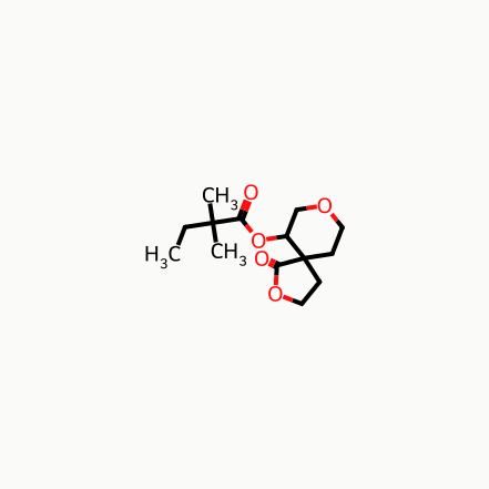 CCC(C)(C)C(=O)OC1COCCC12CCOC2=O